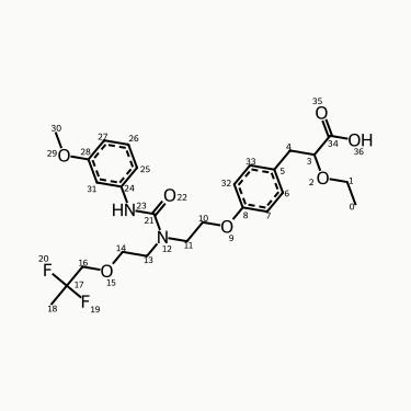 CCOC(Cc1ccc(OCCN(CCOCC(C)(F)F)C(=O)Nc2cccc(OC)c2)cc1)C(=O)O